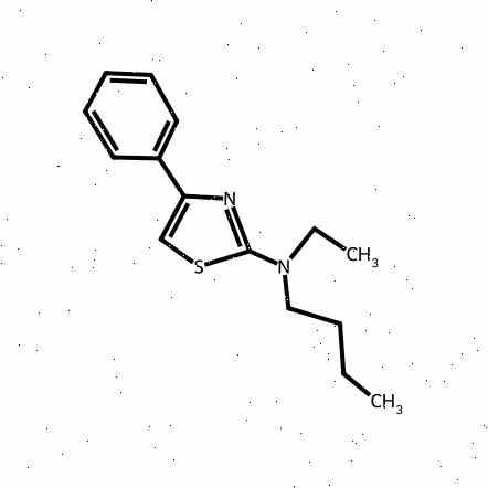 CCCCN(CC)c1nc(-c2ccccc2)cs1